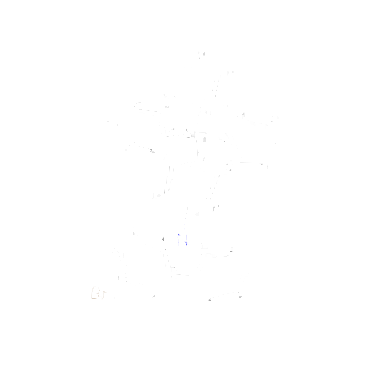 Brc1ccc2c(c1)c1ccccc1n2-c1ccc([Si](c2ccccc2)(c2ccccc2)c2ccccc2)cc1